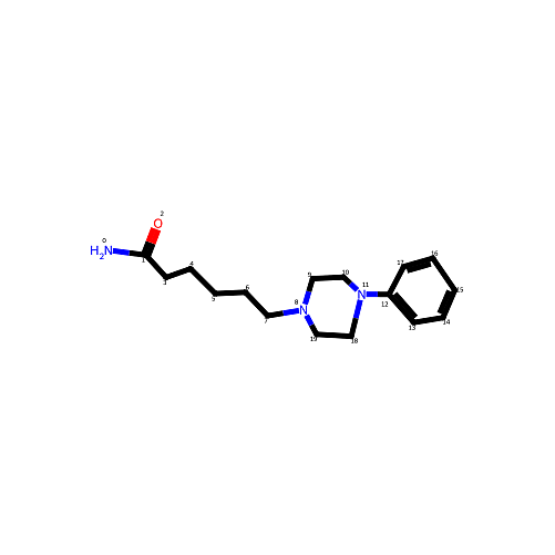 NC(=O)CCCCCN1CCN(c2ccccc2)CC1